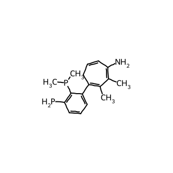 CC1=C(N)C=CCC(c2cccc(P)c2P(C)C)=C1C